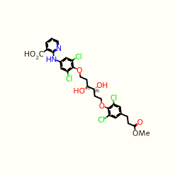 COC(=O)CCc1cc(Cl)c(OCC[C@@H](O)[C@H](O)CCOc2c(Cl)cc(Nc3ncccc3C(=O)O)cc2Cl)c(Cl)c1